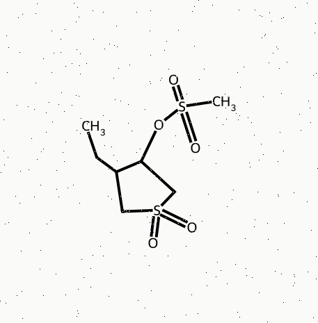 CCC1CS(=O)(=O)CC1OS(C)(=O)=O